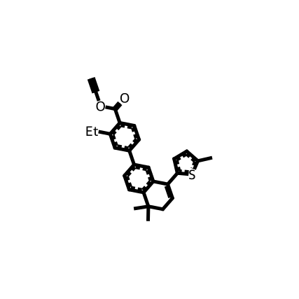 C#COC(=O)c1ccc(-c2ccc3c(c2)C(c2ccc(C)s2)=CCC3(C)C)cc1CC